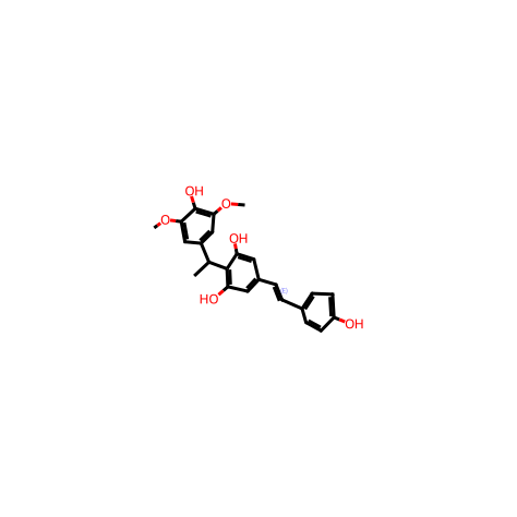 COc1cc(C(C)c2c(O)cc(/C=C/c3ccc(O)cc3)cc2O)cc(OC)c1O